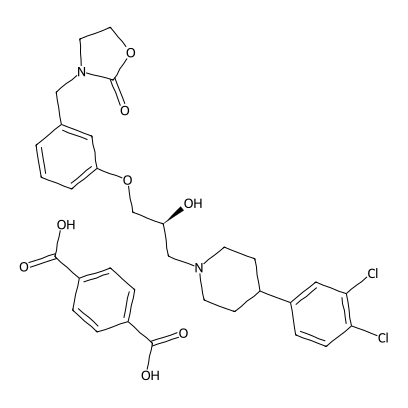 O=C(O)c1ccc(C(=O)O)cc1.O=C1OCCN1Cc1cccc(OC[C@@H](O)CN2CCC(c3ccc(Cl)c(Cl)c3)CC2)c1